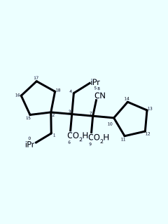 CC(C)CC1(C(CC(C)C)(C(=O)O)C(C#N)(C(=O)O)C2CCCC2)CCCC1